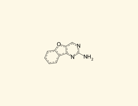 Nc1ncc2oc3ccccc3c2n1